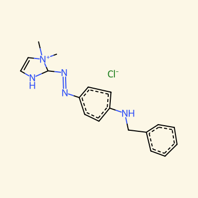 C[N+]1(C)C=CNC1N=Nc1ccc(NCc2ccccc2)cc1.[Cl-]